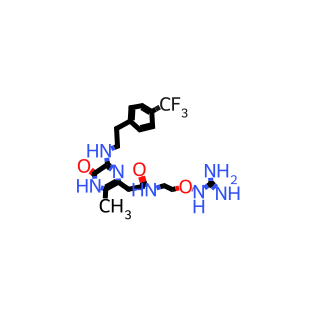 Cc1[nH]c(=O)c(NCCc2ccc(C(F)(F)F)cc2)nc1CC(=O)NCCONC(=N)N